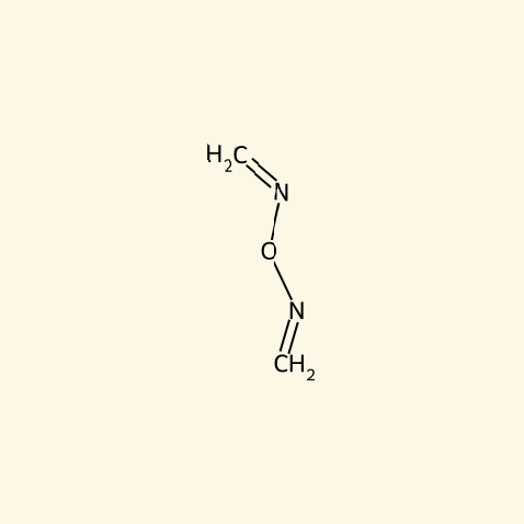 C=NON=C